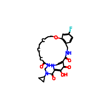 O=C1NCc2ccc(F)cc2OCCCCCCCC(=O)N2CN(C3CC3)C(=O)c3c(O)c(=O)c1cn32